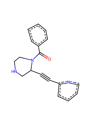 O=C(c1ccccc1)N1CCNCC1C#Cc1ccccn1